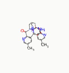 Cc1ccc(NC2CC3CCC2N(C(=O)c2ncc(C)cc2-c2ccccn2)C3)nc1